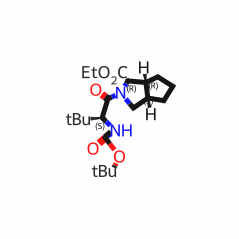 CCOC(=O)[C@H]1[C@@H]2CCC[C@@H]2CN1C(=O)[C@@H](NC(=O)OC(C)(C)C)C(C)(C)C